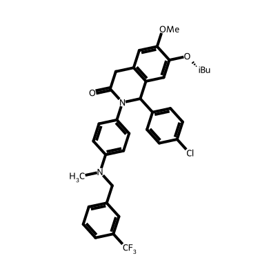 CC[C@@H](C)Oc1cc2c(cc1OC)CC(=O)N(c1ccc(N(C)Cc3cccc(C(F)(F)F)c3)cc1)C2c1ccc(Cl)cc1